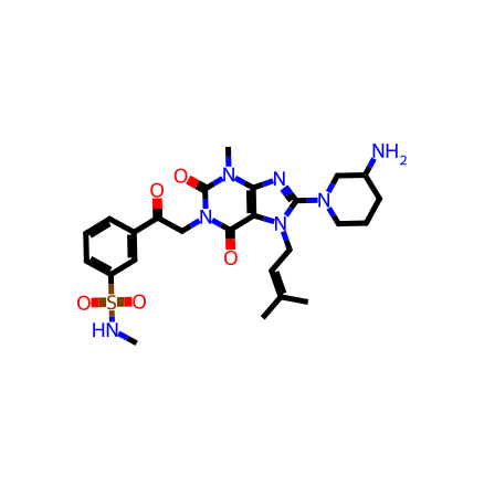 CNS(=O)(=O)c1cccc(C(=O)Cn2c(=O)c3c(nc(N4CCCC(N)C4)n3CC=C(C)C)n(C)c2=O)c1